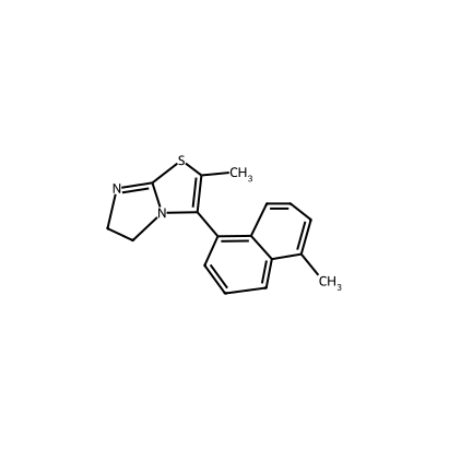 CC1=C(c2cccc3c(C)cccc23)N2CCN=C2S1